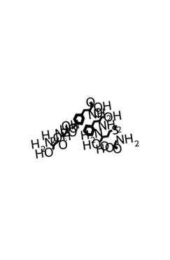 CSCC[C@H](N)C(=O)O.C[C@H](N)C(=O)O.NCC(=O)O.N[C@@H](CO)C(=O)O.N[C@@H](Cc1ccc(O)cc1)C(=O)O.N[C@@H](Cc1ccccc1)C(=O)O